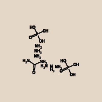 N.N.N.N.N.N.NC(N)=O.O=P(O)(O)O.O=P(O)(O)O